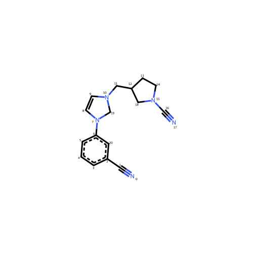 N#Cc1cccc(N2C=CN(CC3CCN(C#N)C3)C2)c1